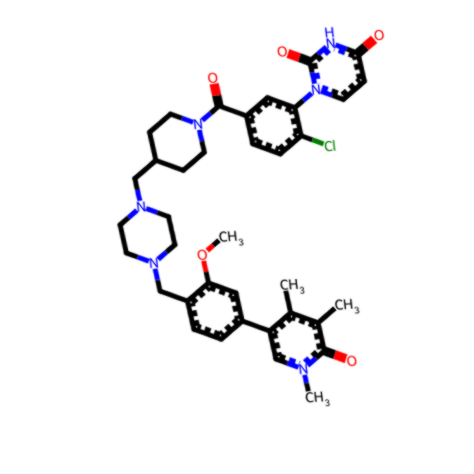 COc1cc(-c2cn(C)c(=O)c(C)c2C)ccc1CN1CCN(CC2CCN(C(=O)c3ccc(Cl)c(-n4ccc(=O)[nH]c4=O)c3)CC2)CC1